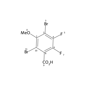 COc1c(Br)c(F)c(F)c(C(=O)O)c1Br